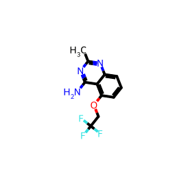 Cc1nc(N)c2c(OCC(F)(F)F)cccc2n1